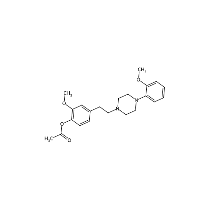 COc1cc(CCN2CCN(c3ccccc3OC)CC2)ccc1OC(C)=O